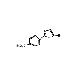 CCOC(=O)c1ccc(-c2ncc(Br)s2)cc1